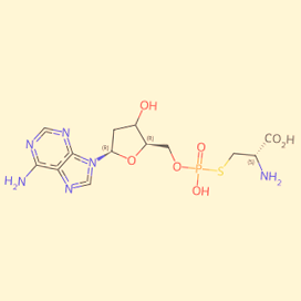 Nc1ncnc2c1ncn2[C@H]1CC(O)[C@@H](COP(=O)(O)SC[C@@H](N)C(=O)O)O1